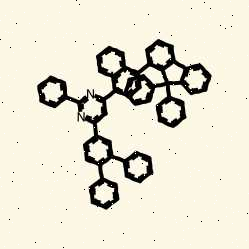 c1ccc(-c2nc(-c3ccc(-c4ccccc4)c(-c4ccccc4)c3)cc(-c3ccc(-c4cccc5c4C(c4ccccc4)(c4ccccc4)c4ccccc4-5)c4ccccc34)n2)cc1